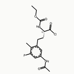 CCOC(=O)N[C@@H](CCc1cc(NC(C)=O)cc(F)c1C)C(=O)Cl